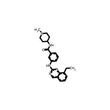 CCc1cccc2cnc(Nc3cccc(C(=O)NC4CCN(C)CC4)c3)nc12